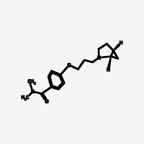 CN(C)C(=O)c1ccc(OCCCN2CC[C@@H]3C[C@@H]32)cc1